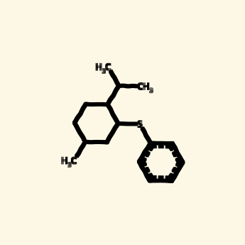 CC1CCC(C(C)C)C(Sc2ccccc2)C1